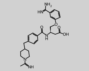 CC(=N)N1CCC(Cc2ccc(C(=O)N[C@@H](COc3cccc(C(=N)N)c3)CC(=O)O)cc2)CC1